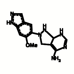 COc1cc2[nH]ncc2cc1N1CC2=C(N)N=CNC2N1